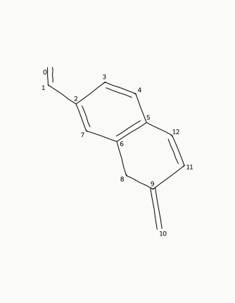 C=Cc1ccc2c(c1)CC(=C)C=C2